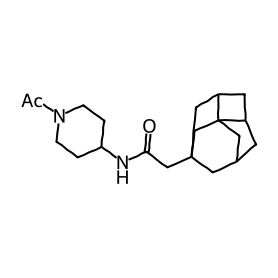 CC(=O)N1CCC(NC(=O)CC23CC4CC5CC(C2)C5(C4)C3)CC1